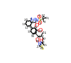 CC1(S(=O)(=O)NC(=O)c2ccccc2-c2ccc3c(c2)OC[C@@H](Cc2cscn2)[C@@H]3O)CC1